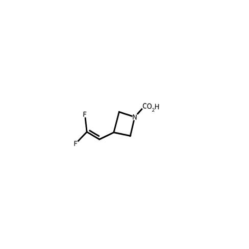 O=C(O)N1CC(C=C(F)F)C1